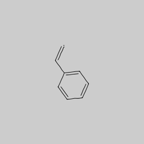 [C]=Cc1ccccc1